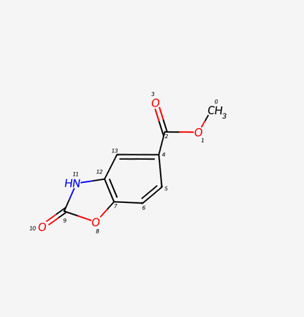 COC(=O)c1ccc2oc(=O)[nH]c2c1